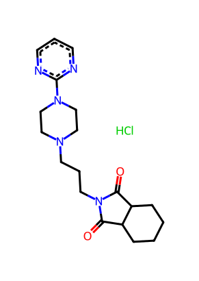 Cl.O=C1C2CCCCC2C(=O)N1CCCN1CCN(c2ncccn2)CC1